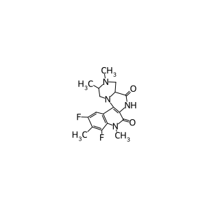 Cc1c(F)cc2c3c(c(=O)n(C)c2c1F)NC(=O)C1CN(C)C(C)CN31